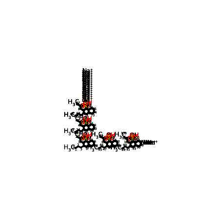 CCCCc1cc2ccccc2c(S(=O)(=O)O)c1CCCC.CCCCc1cc2ccccc2c(S(=O)(=O)O)c1CCCC.CCCCc1cc2ccccc2c(S(=O)(=O)O)c1CCCC.CCCCc1cc2ccccc2c(S(=O)(=O)O)c1CCCC.CCCCc1cc2ccccc2c(S(=O)(=O)O)c1CCCC.[Na+].[Na+].[Na+].[Na+].[Na+].[Na+].[Na+].[Na+].[Na+].[Na+].[Na+].[Na+].[Na+].[Na+].[Na+].[Na+].[Na+].[Na+].[Na+]